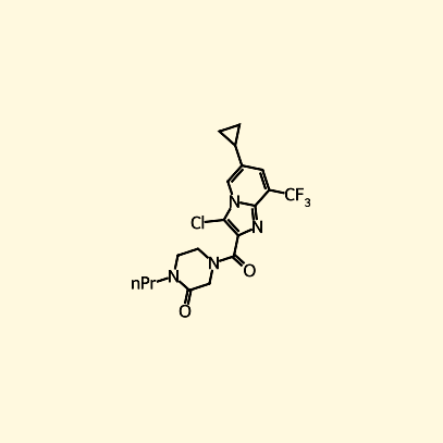 CCCN1CCN(C(=O)c2nc3c(C(F)(F)F)cc(C4CC4)cn3c2Cl)CC1=O